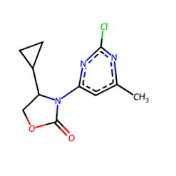 Cc1cc(N2C(=O)OCC2C2CC2)nc(Cl)n1